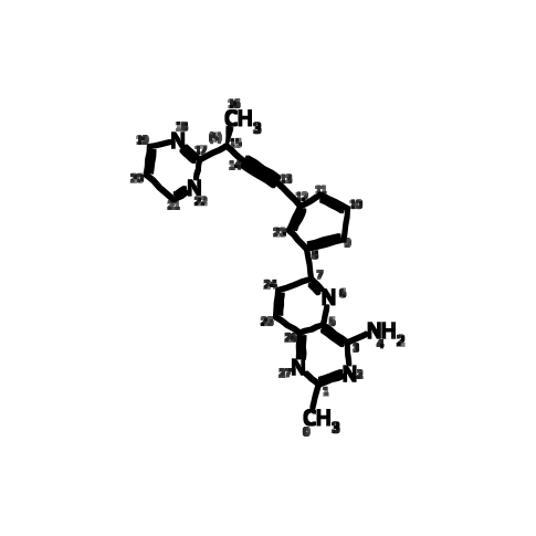 Cc1nc(N)c2nc(-c3cccc(C#C[C@H](C)c4ncccn4)c3)ccc2n1